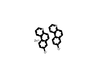 [O-]c1ccc2c(ccc3ncccc32)c1.[O-]c1ccc2c(ccc3ncccc32)c1.[Zn+2]